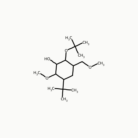 COCC1CC(C(C)(C)C)C(OC)C(O)C1OC(C)(C)C